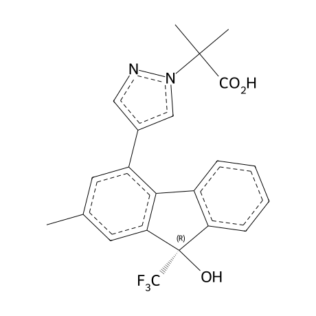 Cc1cc(-c2cnn(C(C)(C)C(=O)O)c2)c2c(c1)[C@@](O)(C(F)(F)F)c1ccccc1-2